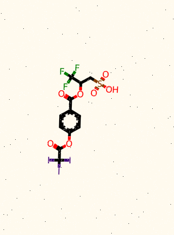 O=C(OC(CS(=O)(=O)O)C(F)(F)F)c1ccc(OC(=O)C(I)(I)I)cc1